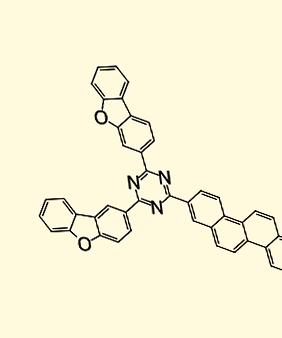 c1ccc2c(c1)ccc1c3ccc(-c4nc(-c5ccc6c(c5)oc5ccccc56)nc(-c5ccc6oc7ccccc7c6c5)n4)cc3ccc21